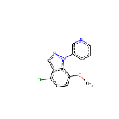 COc1ccc(Cl)c2cnn(-c3cccnc3)c12